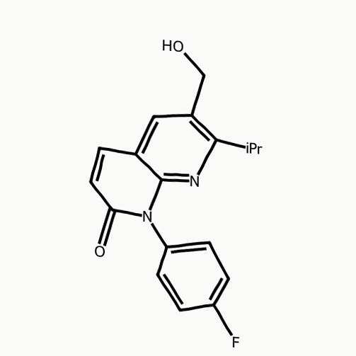 CC(C)c1nc2c(ccc(=O)n2-c2ccc(F)cc2)cc1CO